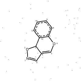 [C]1=NOC2C1=COc1ccccc12